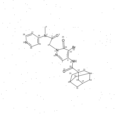 CN(C(=O)Cn1ncc(NC(=O)C23CC4CC(CC(C4)C2)C3)c(Br)c1=O)c1ccncc1